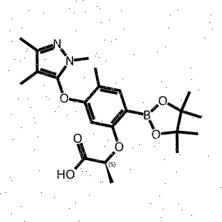 Cc1cc(B2OC(C)(C)C(C)(C)O2)c(O[C@@H](C)C(=O)O)cc1Oc1c(C)c(C)nn1C